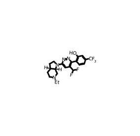 CCN1CC[C@@H]2CCN(c3cc(C(F)F)c(-c4ccc(C(F)(F)F)cc4O)nn3)[C@@H]2C1